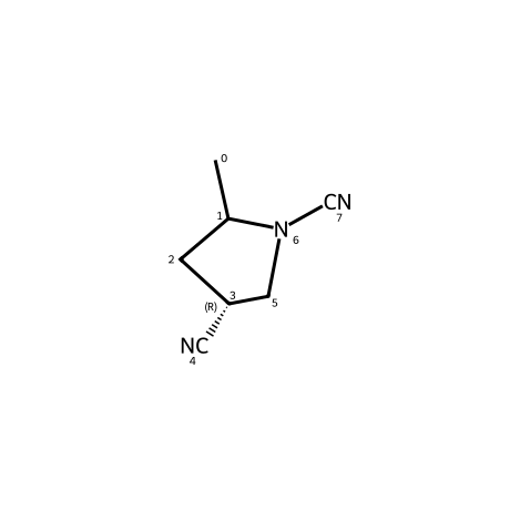 CC1C[C@@H](C#N)CN1C#N